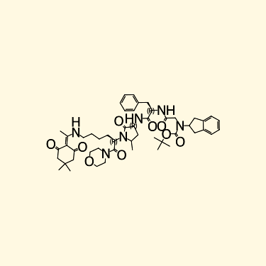 CC(NCCCC[C@H](C(=O)N1CCOCC1)N1C(=O)[C@H](NC(=O)[C@@H](Cc2ccccc2)NC(=O)CN(C(=O)OC(C)(C)C)C2Cc3ccccc3C2)CC1C)=C1C(=O)CC(C)(C)CC1=O